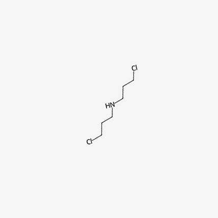 ClCCCNCCCCl